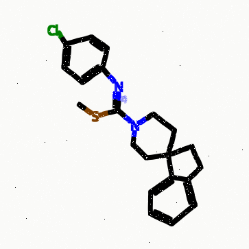 CS/C(=N\c1ccc(Cl)cc1)N1CCC2(CCc3ccccc32)CC1